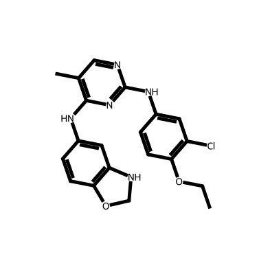 CCOc1ccc(Nc2ncc(C)c(Nc3ccc4c(c3)NCO4)n2)cc1Cl